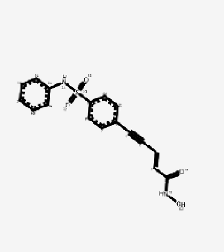 O=C(/C=C/C#Cc1ccc(S(=O)(=O)Nc2ccccc2)cc1)NO